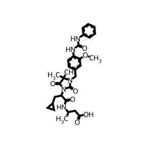 COc1cc(CN2C(=O)N(C(CC3CC3)C(=O)NC(C)CC(=O)O)C(=O)C2(C)C)ccc1NC(=O)Nc1ccccc1